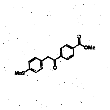 COC(=O)c1ccc(C(=O)Cc2ccc(SC)cc2)cc1